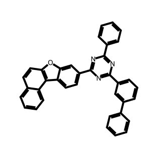 c1ccc(-c2cccc(-c3nc(-c4ccccc4)nc(-c4ccc5c(c4)oc4ccc6ccccc6c45)n3)c2)cc1